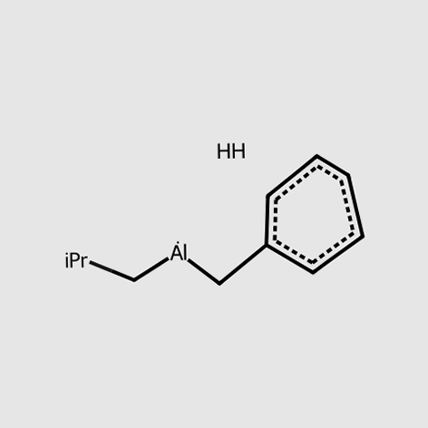 CC(C)[CH2][Al][CH2]c1ccccc1.[HH]